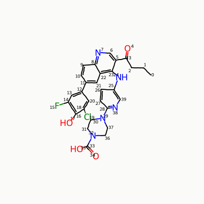 CCCC(=O)c1cnc2ccc(-c3cc(F)c(O)c(Cl)c3)cc2c1Nc1ccc(N2CCN(C(=O)O)CC2)nc1